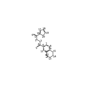 C=C(CCC(=C)c1ccc2c(c1)SCCC2)C1=CC=CC1